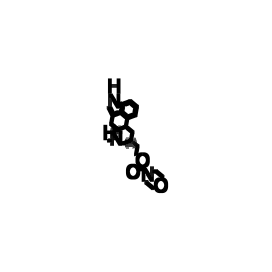 CN1C[C@H](CCOC(=O)N2CCOCC2)CC2c3cccc4[nH]cc(c34)C[C@H]21